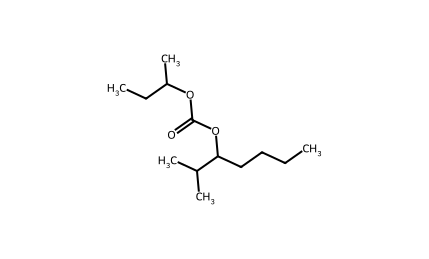 CCCCC(OC(=O)OC(C)CC)C(C)C